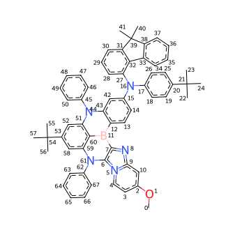 COc1ccn2c3c(nc2c1)B1c2ccc(N(c4ccc(C(C)(C)C)cc4)c4cccc5c4-c4ccccc4C5(C)C)cc2N(c2ccccc2)c2cc(C(C)(C)C)cc(c21)N3c1ccccc1